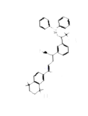 C/C(=C\CC(C#N)c1cccc(C(O[SiH](c2ccccc2)c2ccccc2)C(C)(C)C)c1)c1ccc2c(c1)C(C)(C)CCC2(C)C